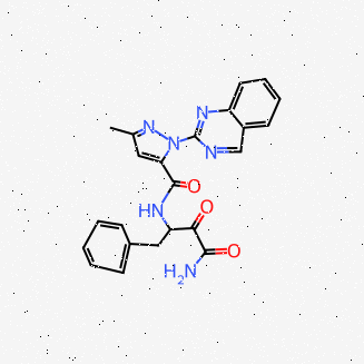 Cc1cc(C(=O)NC(Cc2ccccc2)C(=O)C(N)=O)n(-c2ncc3ccccc3n2)n1